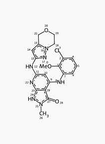 COc1c(Cl)cccc1Nc1cc(Nc2cc3n(n2)CCOC3)nc2[nH]n(C)c(=O)c12